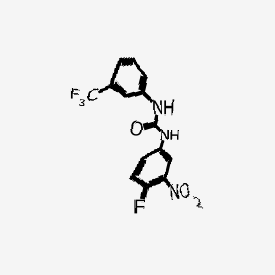 O=C(Nc1cccc(C(F)(F)F)c1)Nc1ccc(F)c([N+](=O)[O-])c1